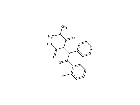 CC(C)C(=O)C(C(=O)O)C(C(=O)c1ccccc1F)c1ccccc1